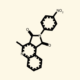 Cc1nc2ccccc2c2c1C(=O)N(c1ccc([N+](=O)[O-])cc1)C2=O